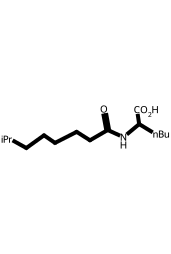 CCCCC(NC(=O)CCCCCC(C)C)C(=O)O